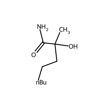 CCCCCCC(C)(O)C(N)=O